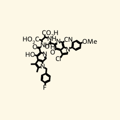 COc1ccc(-n2cc(Cl)c3c(O)c(C(=O)NC(C(=O)O)C(NC(=O)c4ncc5c(c(C)c(C)n5Cc5ccc(F)cc5)c4O)C(=O)O)nc(C#N)c32)cc1